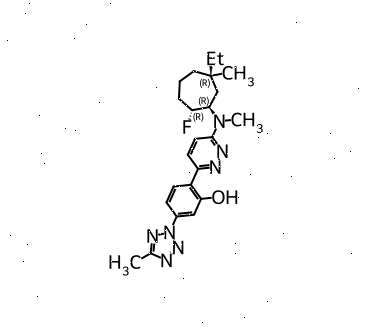 CC[C@]1(C)CCC[C@@H](F)[C@H](N(C)c2ccc(-c3ccc(-n4nnc(C)n4)cc3O)nn2)C1